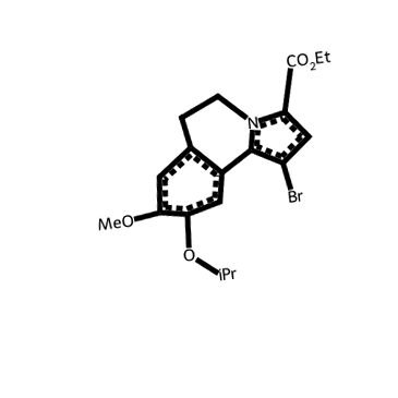 CCOC(=O)c1cc(Br)c2n1CCc1cc(OC)c(OC(C)C)cc1-2